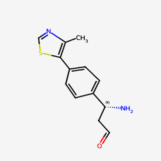 Cc1ncsc1-c1ccc([C@H](N)CC=O)cc1